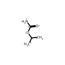 [CH2]C(C)OC(N)=O